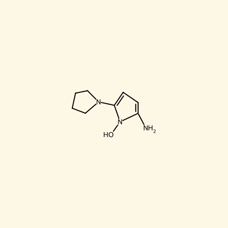 Nc1ccc(N2CCCC2)n1O